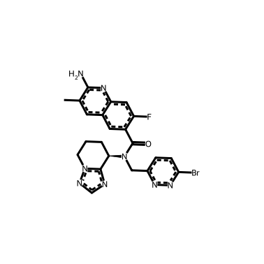 Cc1cc2cc(C(=O)N(Cc3ccc(Br)nn3)[C@@H]3CCCn4ncnc43)c(F)cc2nc1N